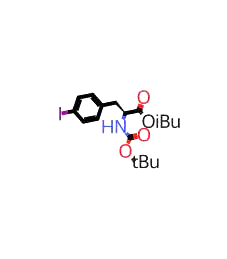 CC(C)COC(=O)[C@H](Cc1ccc(I)cc1)NC(=O)OC(C)(C)C